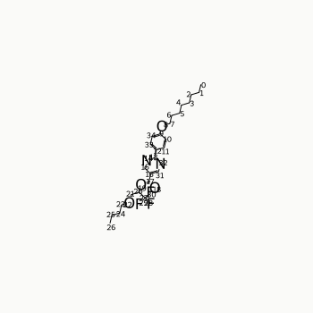 CCCCCCCCOc1ccc(-c2ncc(C(=O)OC(COCCCC)C(F)(F)F)cn2)cc1